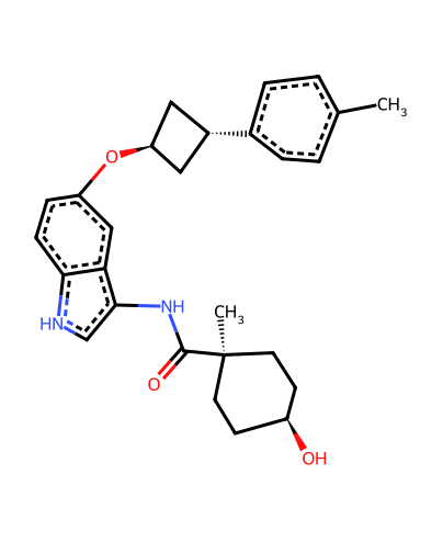 Cc1ccc([C@H]2C[C@H](Oc3ccc4[nH]cc(NC(=O)[C@]5(C)CC[C@H](O)CC5)c4c3)C2)cc1